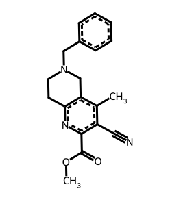 COC(=O)c1nc2c(c(C)c1C#N)CN(Cc1ccccc1)CC2